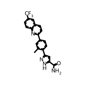 Cc1cc(-c2ccc3cc(C(F)(F)F)ccc3n2)ccc1-c1cc(C(N)=O)[nH]n1